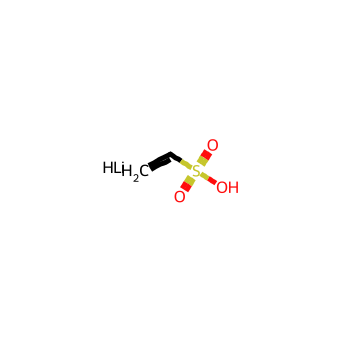 C=CS(=O)(=O)O.[LiH]